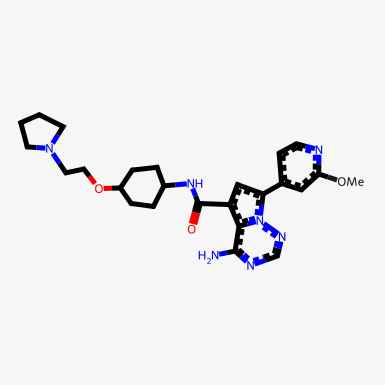 COc1cc(-c2cc(C(=O)NC3CCC(OCCN4CCCC4)CC3)c3c(N)ncnn23)ccn1